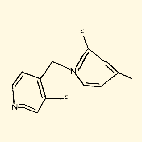 Cc1cc[n+](Cc2ccncc2F)c(F)c1